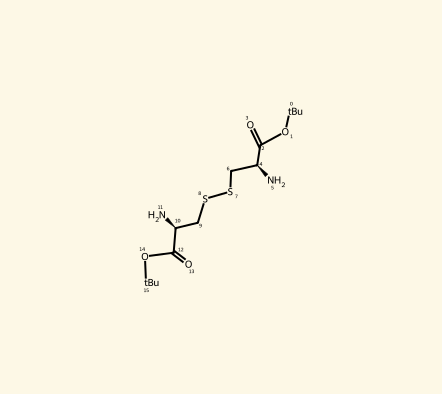 CC(C)(C)OC(=O)[C@@H](N)CSSC[C@H](N)C(=O)OC(C)(C)C